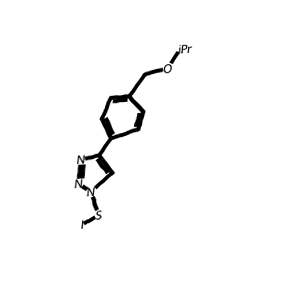 CC(C)OCc1ccc(-c2cn(SI)nn2)cc1